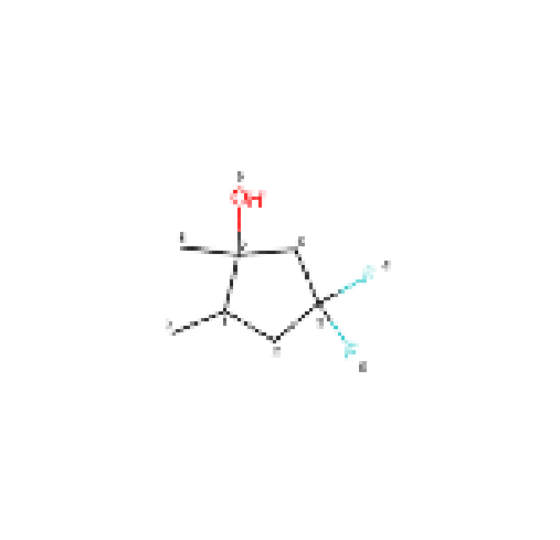 CC1CC(F)(F)CC1(C)O